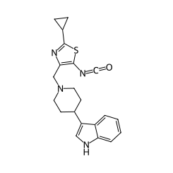 O=C=Nc1sc(C2CC2)nc1CN1CCC(c2c[nH]c3ccccc23)CC1